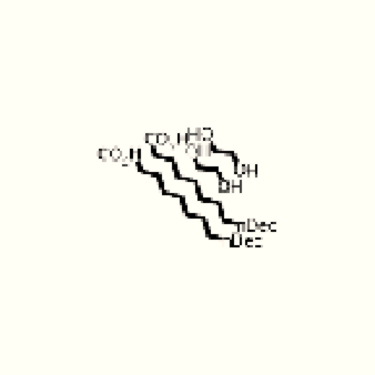 CCCCCCCCCCCCCCCCCC(=O)O.CCCCCCCCCCCCCCCCCC(=O)O.OCCO.OCCO